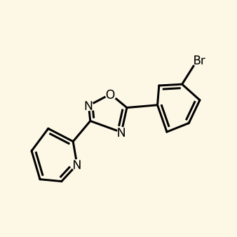 Brc1cccc(-c2nc(-c3ccccn3)no2)c1